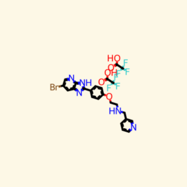 Brc1cnc2[nH]c(-c3ccc(OCCNCc4cccnc4)cc3)nc2c1.O=C(O)C(F)(F)F.O=C(O)C(F)(F)F